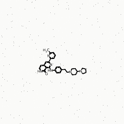 Cc1cccc(-c2cc3cc[nH]c(=O)c3c(Nc3ccc(CCN4CCC(N5CCCC5)CC4)cc3)n2)n1